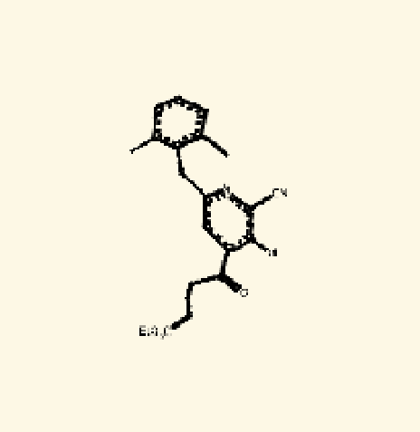 CCOC(=O)CCC(=O)c1cc(Cc2c(C)cccc2C)nc(C#N)c1O